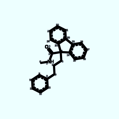 CNC(=O)C1(CCCc2ccccc2)c2ccccc2-c2ccccc21